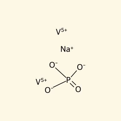 O=P([O-])([O-])[O-].[Na+].[V+5].[V+5]